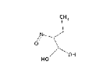 CCC(N=O)C(O)O